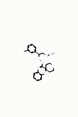 [N-]=[N+]=NCC(NNC1=Nc2ccccc2NC12CCOCC2)c1cccc(Cl)c1